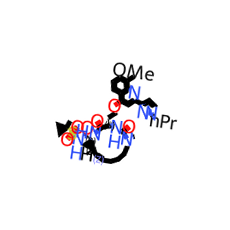 CCCn1ccc(-c2cc(OCC[C@@H]3NC(=O)N(C)CCCC/C=C\[C@@H]4C[C@@]4(C(=O)NS(=O)(=O)C4(C)CC4)NC3=O)c3ccc(OC)c(C)c3n2)n1